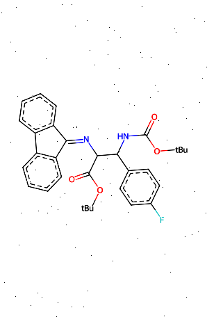 CC(C)(C)OC(=O)NC(c1ccc(F)cc1)C(N=C1c2ccccc2-c2ccccc21)C(=O)OC(C)(C)C